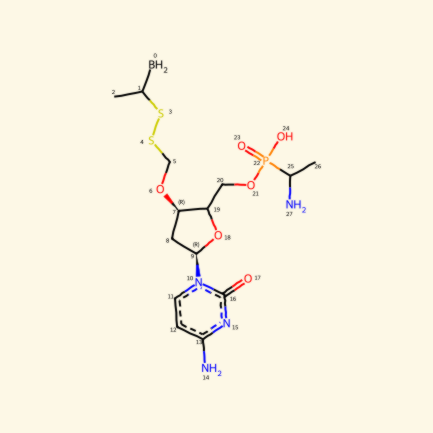 BC(C)SSCO[C@@H]1C[C@H](n2ccc(N)nc2=O)OC1COP(=O)(O)C(C)N